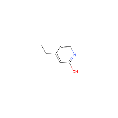 [CH2]Cc1ccnc(O)c1